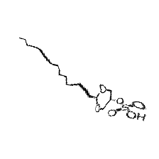 CCCCCCCCCCC[C@H]1OC[C@H](OS(=O)(=O)O)CO1